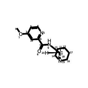 COc1ccnc(C(=O)N[C@@H]2CC3CCN(CC3)C2)c1